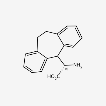 N[C@H](C(=O)O)C1c2ccccc2CCc2ccccc21